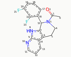 CC(=O)N1CCc2c([nH]c3ncccc23)C1c1cccc(F)c1F